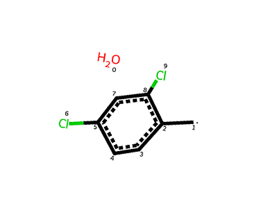 O.[CH2]c1ccc(Cl)cc1Cl